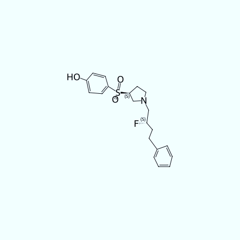 O=S(=O)(c1ccc(O)cc1)[C@H]1CCN(C[C@@H](F)CCc2ccccc2)C1